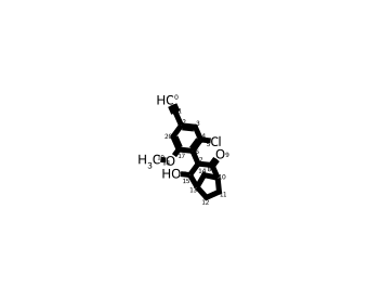 C#Cc1cc(Cl)c(C2C(=O)C3CCC(C3)C2O)c(OC)c1